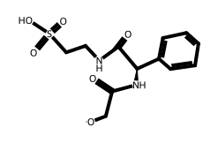 [O]CC(=O)N[C@@H](C(=O)NCCS(=O)(=O)O)c1ccccc1